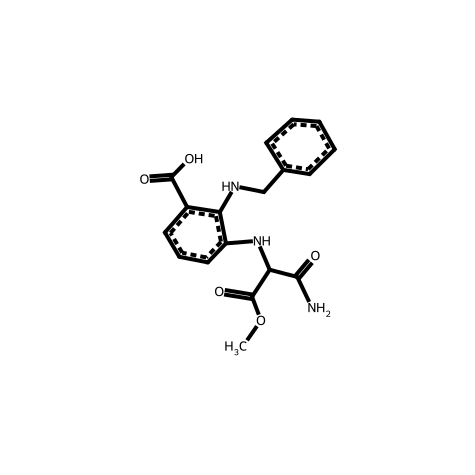 COC(=O)C(Nc1cccc(C(=O)O)c1NCc1ccccc1)C(N)=O